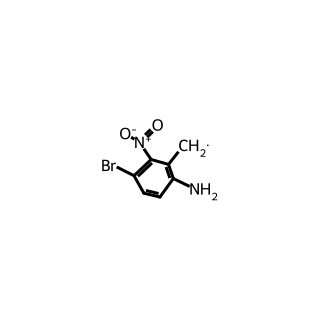 [CH2]c1c(N)ccc(Br)c1[N+](=O)[O-]